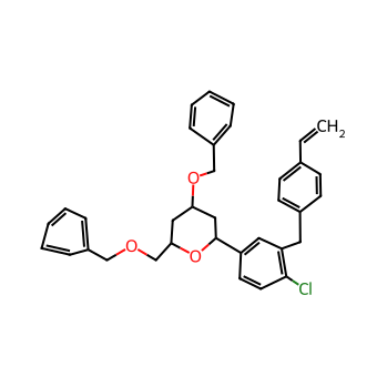 C=Cc1ccc(Cc2cc(C3CC(OCc4ccccc4)CC(COCc4ccccc4)O3)ccc2Cl)cc1